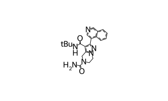 CC(C)(C)NC(=O)c1c(-c2cncc3ccccc23)nn2c1CN(C(N)=O)CC2